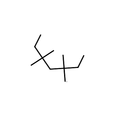 [CH2]C(C)(CC)CC(C)(C)CC